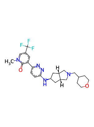 Cn1cc(C(F)(F)F)cc(-c2ccc(N[C@H]3C[C@@H]4CN(CC5CCOCC5)C[C@@H]4C3)nn2)c1=O